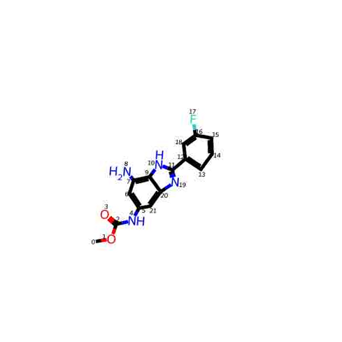 COC(=O)Nc1cc(N)c2[nH]c(-c3cccc(F)c3)nc2c1